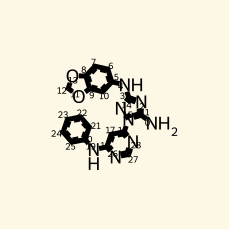 Nc1nc(Nc2ccc3c(c2)OCO3)nn1-c1cc(Nc2ccccc2)ncn1